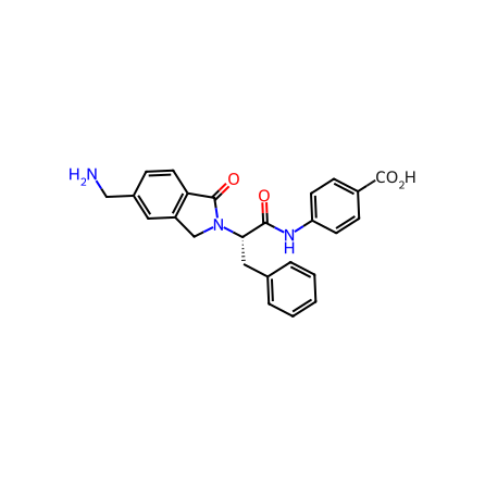 NCc1ccc2c(c1)CN([C@@H](Cc1ccccc1)C(=O)Nc1ccc(C(=O)O)cc1)C2=O